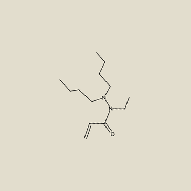 C=CC(=O)N(CC)N(CCCC)CCCC